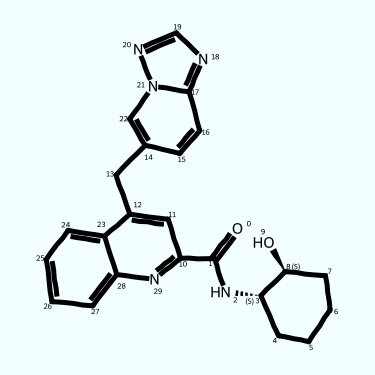 O=C(N[C@H]1CCCC[C@@H]1O)c1cc(Cc2ccc3ncnn3c2)c2ccccc2n1